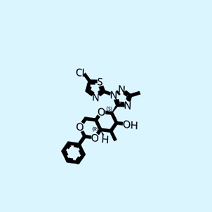 Cc1nc([C@@H]2OC3COC(c4ccccc4)O[C@@H]3C(C)C2O)n(-c2ncc(Cl)s2)n1